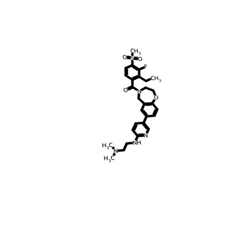 CCc1c(C(=O)N2CCOc3ccc(-c4ccc(NCCN(C)C)nc4)cc3C2)ccc(S(C)(=O)=O)c1F